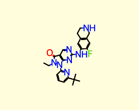 CCn1c(=O)c2cnc(Nc3cc4c(cc3F)CNCC4)nc2n1-c1cccc(C(C)(C)C)n1